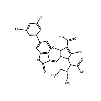 CCN(CC)C(C(N)=O)n1c(C)c(C(=O)O)c(C)c1C=C1C(=O)Nc2cc(-c3cc(Cl)cc(Cl)c3)ccc21